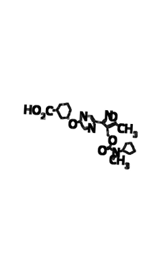 Cc1onc(-c2cnc(O[C@H]3CCC[C@H](C(=O)O)C3)cn2)c1COC(=O)N(C)C1CCCC1